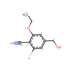 CCOc1cc(CO)cc(F)c1C#N